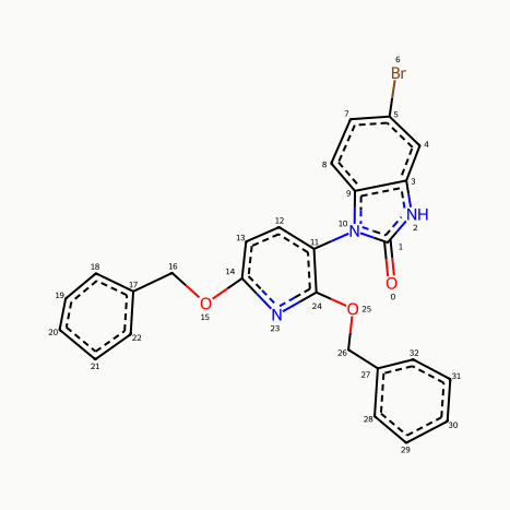 O=c1[nH]c2cc(Br)ccc2n1-c1ccc(OCc2ccccc2)nc1OCc1ccccc1